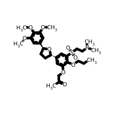 CCCOc1c(OCC(C)=O)cc([C@@H]2CC[C@@H](c3cc(OC)c(OC)c(OC)c3)O2)cc1S(=O)(=O)CCN(C)C